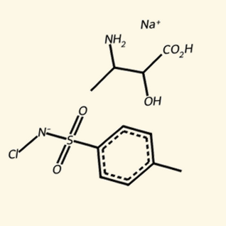 CC(N)C(O)C(=O)O.Cc1ccc(S(=O)(=O)[N-]Cl)cc1.[Na+]